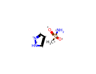 CS(N)(=O)=O.c1cn[nH]c1